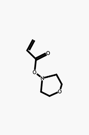 C=CC(=O)ON1CCOCC1